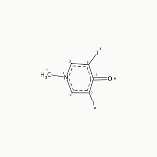 Cn1cc(I)c(=O)c(I)c1